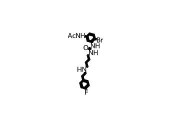 CC(=O)Nc1ccc(Br)c(NC(=O)NCCCCNCCc2ccc(F)cc2)c1